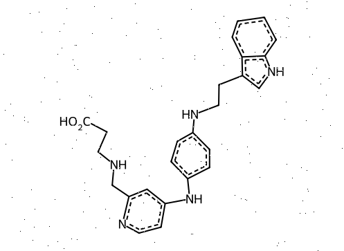 O=C(O)CCNCc1cc(Nc2ccc(NCCc3c[nH]c4ccccc34)cc2)ccn1